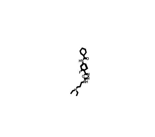 CCN(CC)CCCNc1nnc(-c2ccc(NC(=O)C3CCCCC3)cc2F)o1